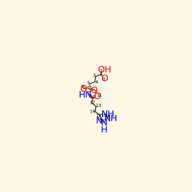 O=C(O)CCCS(=O)(=O)NC(=O)CCCC1=NNNN1